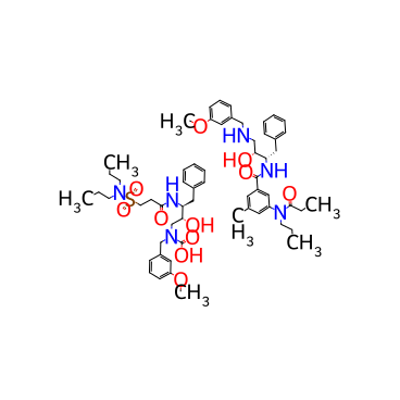 CCCN(C(=O)CC)c1cc(C)cc(C(=O)N[C@@H](Cc2ccccc2)[C@H](O)CNCc2cccc(OC)c2)c1.CCCN(CCC)S(=O)(=O)CCC(=O)N[C@@H](Cc1ccccc1)[C@H](O)CN(Cc1cccc(OC)c1)C(=O)O